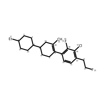 CCC1CCC(C2CCC(c3ccc(CCF)c(Cl)c3F)=C(C)C2)CC1